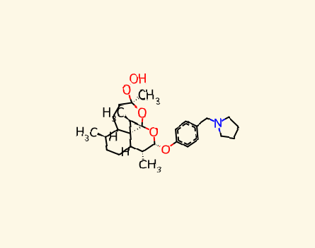 C[C@H]1[C@@H](Oc2ccc(CN3CCCC3)cc2)OC23O[C@](C)(OO)CC[C@H]4[C@H](C)CC[C@@H]1[C@]42[C@H]3C